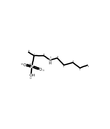 CCCCCNCC(C)S(=O)(=O)O